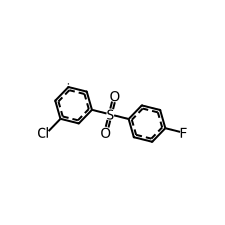 O=S(=O)(c1ccc(F)cc1)c1c[c]cc(Cl)c1